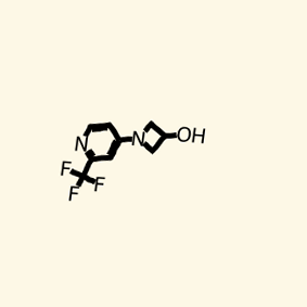 OC1CN(c2ccnc(C(F)(F)F)c2)C1